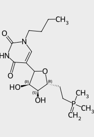 C=P(C)(C)CC[C@H]1OC(c2cn(CCCC)c(=O)[nH]c2=O)[C@H](O)[C@@H]1O